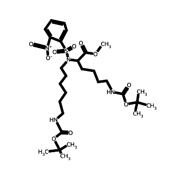 COC(=O)C(CCCCNC(=O)OC(C)(C)C)N(CCCCCCNC(=O)OC(C)(C)C)S(=O)(=O)c1ccccc1[N+](=O)[O-]